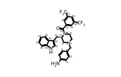 Nc1ccc(CN2CCN(C(=O)c3cc(C(F)(F)F)cc(C(F)(F)F)c3)[C@H](Cc3c[nH]c4ccccc34)C2)cc1